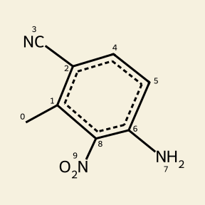 Cc1c(C#N)ccc(N)c1[N+](=O)[O-]